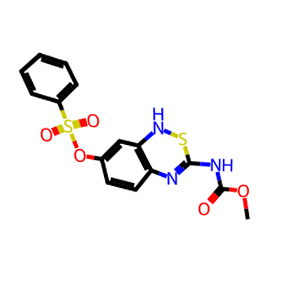 COC(=O)NC1=Nc2ccc(OS(=O)(=O)c3ccccc3)cc2NS1